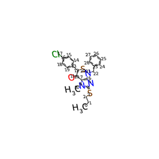 CCCSc1nc2c(n1C)C(=O)C(c1ccc(Cl)cc1)SN2Cc1ccccc1